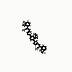 N#C/C(=C\c1ccc(-c2ccc(-c3ccc(/C=C(\C#N)c4cccc5nsnc45)s3)c3nsnc23)s1)c1cccc2nsnc12